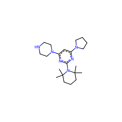 CC1(C)CCCC(C)(C)N1c1nc(N2CCCC2)cc(N2CCNCC2)n1